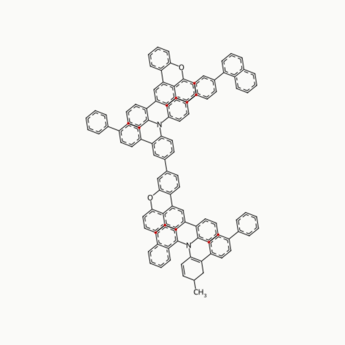 CC1C=CC(N(c2ccccc2-c2cc3c4c(cccc4c2)Oc2cc(-c4ccc(N(c5ccc(-c6ccc(-c7cccc8ccccc78)cc6)cc5)c5ccccc5-c5cc6c7c(cccc7c5)Oc5ccccc5-6)c(-c5ccc(-c6ccccc6)cc5)c4)ccc2-3)c2cccc3ccccc23)=C(c2ccc(-c3ccccc3)cc2)C1